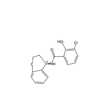 O=C(N[C@@H]1CCCc2ccccc21)c1cccc(Cl)c1O